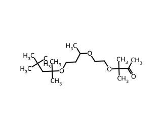 CC(=O)C(C)(C)OCCOC(C)CCOC(C)(C)CC(C)(C)C